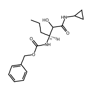 [2H][C@@](CCC)(NC(=O)OCc1ccccc1)C(O)C(=O)NC1CC1